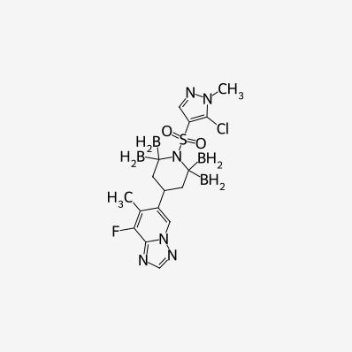 BC1(B)CC(c2cn3ncnc3c(F)c2C)CC(B)(B)N1S(=O)(=O)c1cnn(C)c1Cl